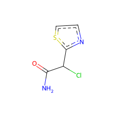 NC(=O)C(Cl)c1nccs1